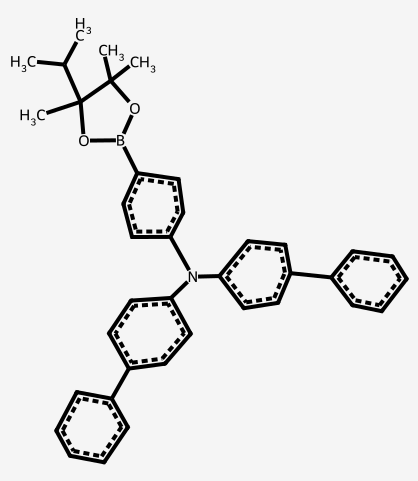 CC(C)C1(C)OB(c2ccc(N(c3ccc(-c4ccccc4)cc3)c3ccc(-c4ccccc4)cc3)cc2)OC1(C)C